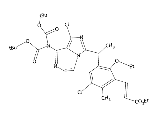 CCOC(=O)/C=C/c1c(C)c(Cl)cc(C(C)c2nc(Cl)c3c(N(C(=O)OC(C)(C)C)C(=O)OC(C)(C)C)nccn23)c1OCC